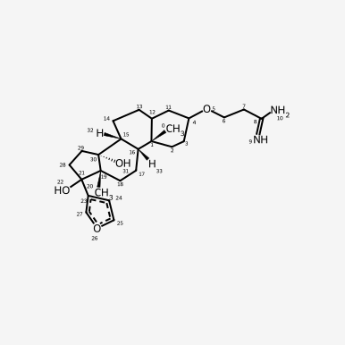 C[C@]12CCC(OCCC(=N)N)CC1CC[C@@H]1[C@H]2CC[C@]2(C)C(O)(c3ccoc3)CC[C@@]12O